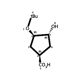 CC(C)(C)O[C@@H]1C[C@H](C(=O)O)C[C@H]1O